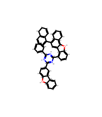 C1=Cc2c(cccc2-c2cc3c(oc4cccc(-c5nc(-c6ccccc6)nc(-c6ccc7oc8ccccc8c7c6)n5)c43)c3ccccc23)CC1